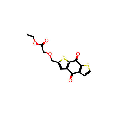 CCOC(=O)COCc1cc2c(s1)C(=O)c1sccc1C2=O